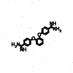 N=C(N)c1ccc(Oc2ccccc2Oc2ccc(C(=N)N)cc2)cc1